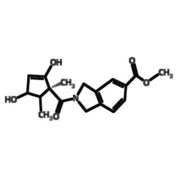 COC(=O)c1ccc2c(c1)CN(C(=O)[C@]1(C)C(O)=CC(O)C1C)C2